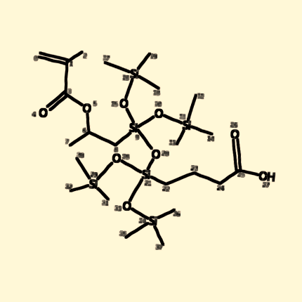 C=C(C)C(=O)OC(C)C[Si](O[Si](C)(C)C)(O[Si](C)(C)C)O[Si](CCCC(=O)O)(O[Si](C)(C)C)O[Si](C)(C)C